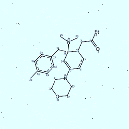 CCC(=O)CC1C=CC(N2CCOCC2)=CC1(Cc1ccc(C)cc1)N(C)C